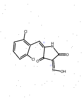 O=C1N/C(=C/c2c(Cl)cccc2Cl)C(=O)/C1=N/O